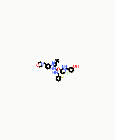 CC(C)(C)c1cc(NC(=O)NCc2ccccc2Sc2ccc3nnc(-c4cc(O)ccc4F)n3c2)n(-c2cccc(CN3CCOCC3)c2)n1